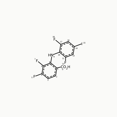 O=C(O)c1ccc(F)c(F)c1Nc1c(F)cc(I)cc1F